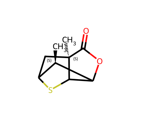 C[C@@H]1C2C[C@@]3(C)C(=O)OC1C3S2